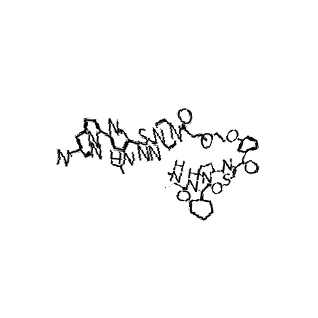 CN[C@@H](C)C(=O)N[C@H](C(=O)N1CCC[C@H]1c1nc(C(=O)c2cccc(OCCOCCC(=O)N3CCN(c4nnc(-c5cnc(-c6ccc7cc(C#N)cnn67)cc5NC(C)C)s4)CC3)c2)cs1)C1CCCCC1